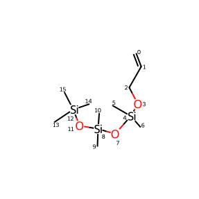 C=CCO[Si](C)(C)O[Si](C)(C)O[Si](C)(C)C